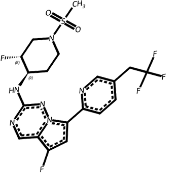 CS(=O)(=O)N1CC[C@@H](Nc2ncc3c(F)cc(-c4ccc(CC(F)(F)F)cn4)n3n2)[C@H](F)C1